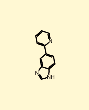 [c]1ccnc(-c2ccc3[nH]cnc3c2)c1